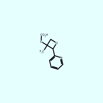 O=C(O)OC1(C(F)(F)F)COC1c1ccccn1